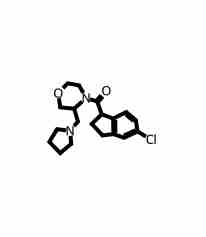 O=C(C1CCc2cc(Cl)ccc21)N1CCOCC1CN1CCCC1